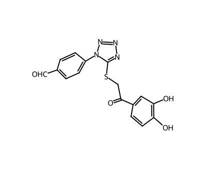 O=Cc1ccc(-n2nnnc2SCC(=O)c2ccc(O)c(O)c2)cc1